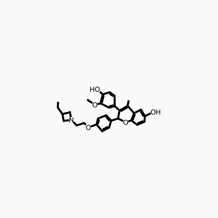 CCC1CN(CCOc2ccc(C3Oc4ccc(O)cc4C(C)=C3c3ccc(O)c(OC)c3)cc2)C1